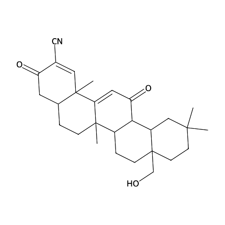 CC1(C)CCC2(CO)CCC3C(C(=O)C=C4C5(C)C=C(C#N)C(=O)CC5CCC43C)C2C1